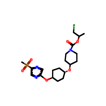 CC(CF)OC(=O)N1CCC(O[C@H]2CC[C@H](Oc3cnc(S(C)(=O)=O)cn3)CC2)CC1